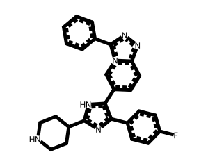 Fc1ccc(-c2nc(C3CCNCC3)[nH]c2-c2ccc3nnc(-c4ccccc4)n3c2)cc1